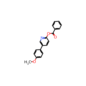 COc1ccc(-c2ccc(OC(=O)c3ccccc3)nc2)cc1